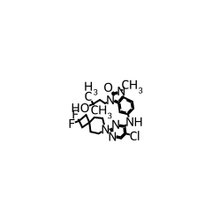 Cn1c(=O)n(CCC(C)(C)O)c2cc(Nc3nc(N4CCC5(CC4)CC(F)(F)C5)ncc3Cl)ccc21